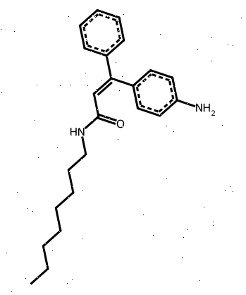 CCCCCCCCNC(=O)/C=C(/c1ccccc1)c1ccc(N)cc1